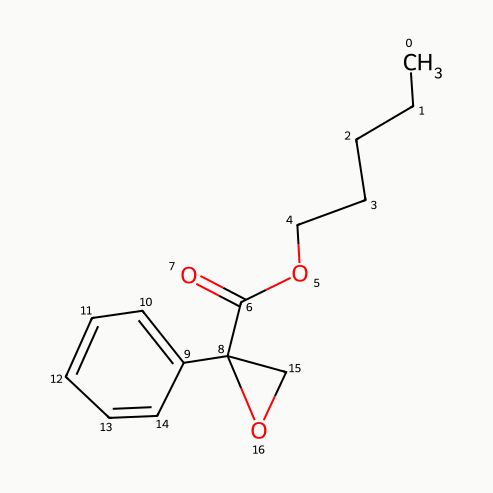 CCCCCOC(=O)C1(c2ccccc2)CO1